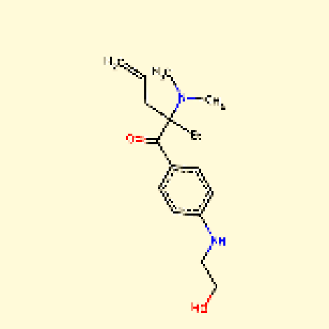 C=CCC(CC)(C(=O)c1ccc(NCCO)cc1)N(C)C